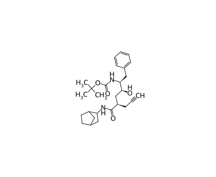 C#CC[C@H](C[C@H](O)[C@H](Cc1ccccc1)NC(=O)OC(C)(C)C)C(=O)NC1CC2CCC1C2